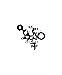 CC(C)=CCN1c2c(n(C)c(=O)n(CC(=O)c3ccccc3)c2=O)N(OC(=O)C(F)(F)F)C1SC1(CN)CCCCCCC1